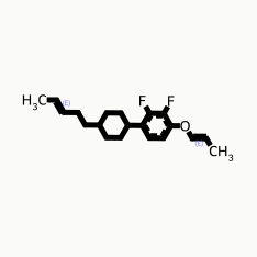 C/C=C/CCC1CCC(c2ccc(O/C=C/C)c(F)c2F)CC1